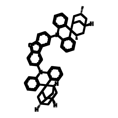 C[C@H]1CC2C[C@H](C1)C[C@H](C)C21c2ccccc2N(c2ccc3oc4ccc(N5c6ccccc6C6(c7ccccc75)C5C[C@H]7C[C@@H](C5)C[C@@H]6C7)cc4c3c2)c2ccccc21